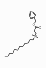 CCCCCCCCCCCC[N+](C)(C)CCC(=O)OCc1ccccc1